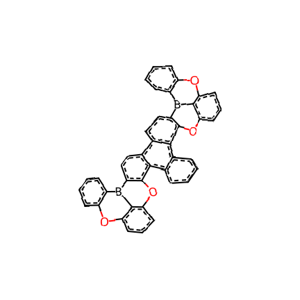 c1ccc2c(c1)Oc1cccc3c1B2c1ccc2c4ccc5c(c4c4ccccc4c2c1O3)Oc1cccc2c1B5c1ccccc1O2